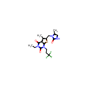 CCn1c(=O)c2c(C)c(Cn3c(C)c[nH]c3=O)sc2n(CCC(F)(F)F)c1=O